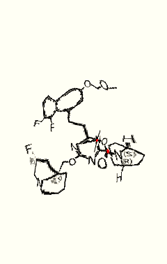 COCOc1cc(CCc2nc(OC[C@@]34CCCN3C[C@H](F)C4)nc(N3C[C@H]4CC[C@@H](C3)N4C(=O)OC(C)(C)C)n2)c2c(F)c(F)ccc2c1